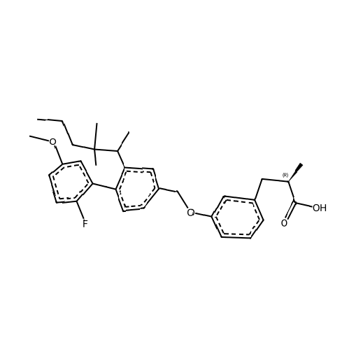 CCCC(C)(C)C(C)c1cc(COc2cccc(C[C@@H](C)C(=O)O)c2)ccc1-c1cc(OC)ccc1F